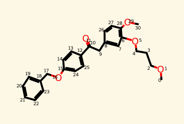 COCCCOc1cc(CC(=O)c2ccc(OCc3ccccc3)cc2)ccc1OC